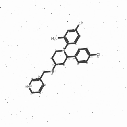 Cc1cc(Cl)ccc1N1CCC(NCC2=CNCC=C2)CC1c1ccc(Cl)cc1